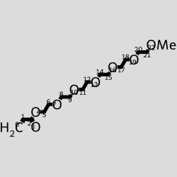 C=CC(=O)OCCOCCOCCOCCOCCOCCOC